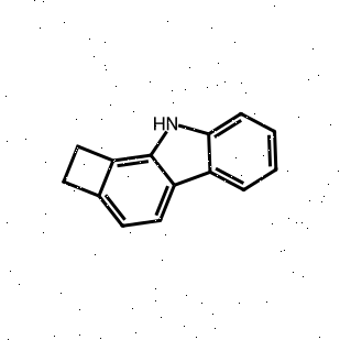 c1ccc2c(c1)[nH]c1c3c(ccc12)CC3